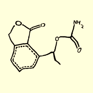 CC(OC(N)=O)c1cccc2c1C(=O)OC2